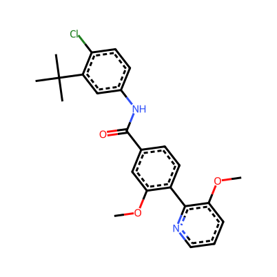 COc1cc(C(=O)Nc2ccc(Cl)c(C(C)(C)C)c2)ccc1-c1ncccc1OC